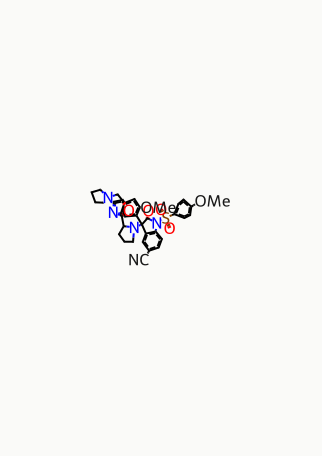 COc1ccc(S(=O)(=O)N2C(=O)C(c3ccc(CN4CCCC4)cc3OC)(N3CCCC3c3ncco3)c3cc(C#N)ccc32)cc1